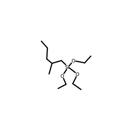 CCCC(C)C[Si](OCC)(OCC)OCC